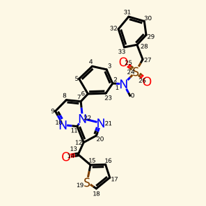 CN(c1cccc(-c2ccnc3c(C(=O)c4cccs4)cnn23)c1)S(=O)(=O)Cc1ccccc1